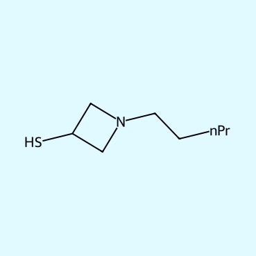 CCCCCN1CC(S)C1